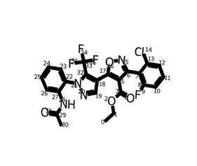 CCOC(=O)c1c(-c2c(F)cccc2Cl)noc1-c1cnn(-c2ccccc2NC(C)=O)c1C(F)(F)F